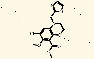 COC(=O)c1c(OC)c(Cl)cc2c1OCCN2Cc1ncco1